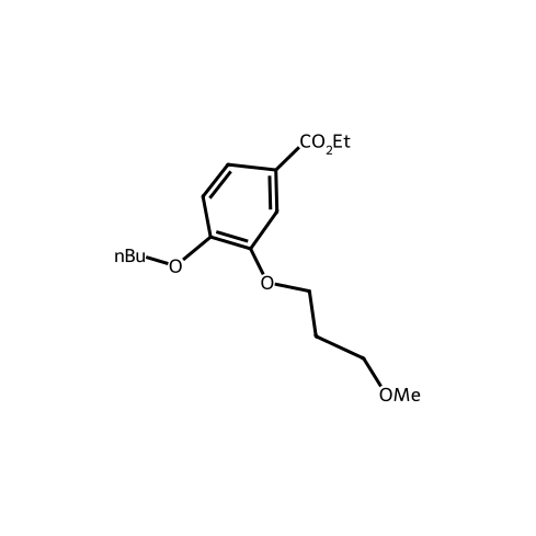 CCCCOc1ccc(C(=O)OCC)cc1OCCCOC